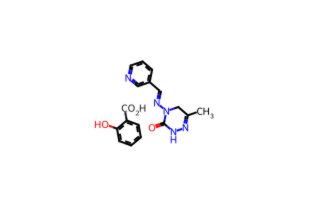 CC1=NNC(=O)N(/N=C/c2cccnc2)C1.O=C(O)c1ccccc1O